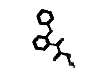 CNC(=O)C(=O)c1ccccc1Oc1ccccc1